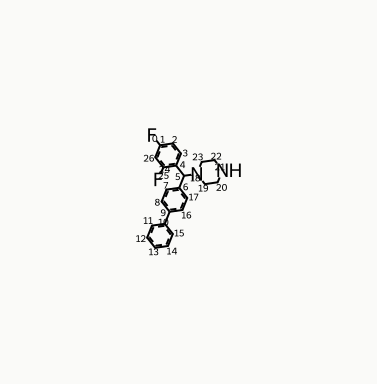 Fc1ccc(C(c2ccc(-c3ccccc3)cc2)N2CCNCC2)c(F)c1